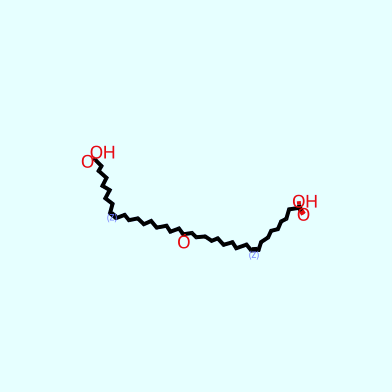 O=C(O)CCCCCCC/C=C\CCCCCCCCCC(=O)CCCCCCCCC/C=C\CCCCCCCC(=O)O